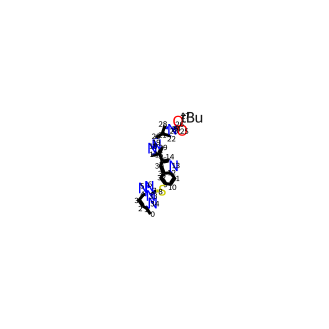 Cc1ccc2nnc(Sc3ccc4ncc(-c5cnn(CC6CN(C(=O)OC(C)(C)C)C6)c5)cc4c3)n2n1